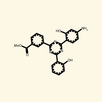 COC(=O)c1cccc(-c2nc(-c3ccccc3O)nc(-c3ccc(N)cc3O)n2)c1